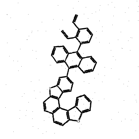 C=Cc1cccc(-c2c3ccccc3c(-c3ccc4c(c3)sc3ccc5ccc6oc7ccccc7c6c5c34)c3ccccc23)c1C=C